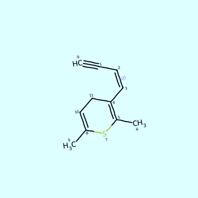 C#C/C=C\C1=C(C)SC(C)=CC1